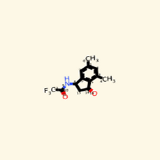 Cc1cc(C)c2c(c1)C(NC(=O)C(F)(F)F)CC2=O